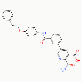 NC(=O)c1ncc(-c2cccc(C(=O)Nc3ccc(OCCc4ccccc4)cc3)c2)cc1C(=O)O